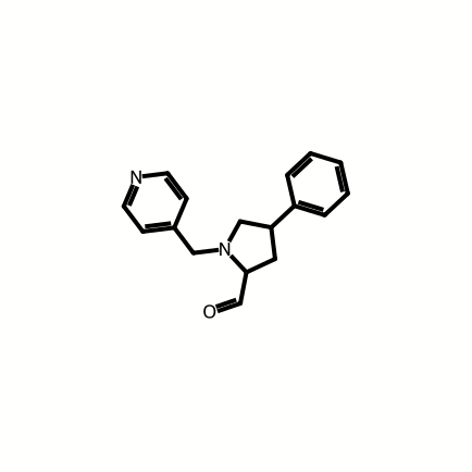 O=CC1CC(c2ccccc2)CN1Cc1ccncc1